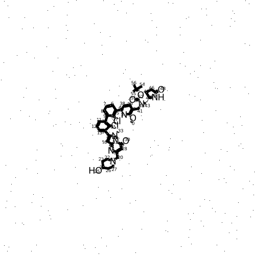 COc1nc(-c2cccc(-c3cccc(-c4cc5nc(CN6CCC(O)CC6)cc(=O)n5n4C)c3Cl)c2Cl)ccc1CN(C[C@@H]1CCC(=O)N1)C(=O)OC(C)(C)C